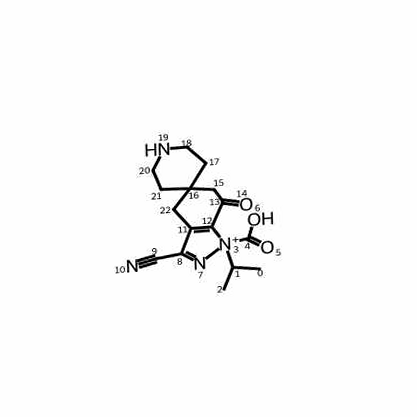 CC(C)[N+]1(C(=O)O)N=C(C#N)C2=C1C(=O)CC1(CCNCC1)C2